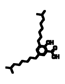 CC(C)CCCCCCc1cc(CCCCCCC(C)C)c(O)c(C(=O)O)c1